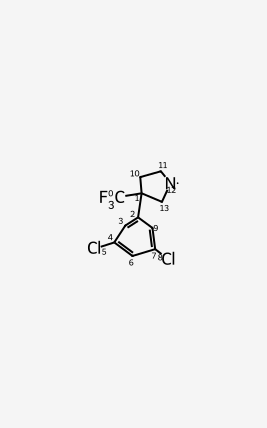 FC(F)(F)C1(c2cc(Cl)cc(Cl)c2)CC[N]C1